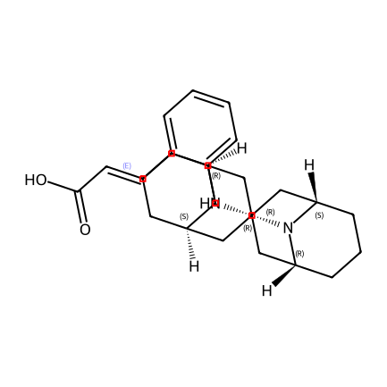 O=C(O)/C=C/c1ccccc1N[C@H]1C[C@H]2CCC[C@@H](C1)N2[C@H]1C[C@@H]2CCC[C@@H](C2)C1